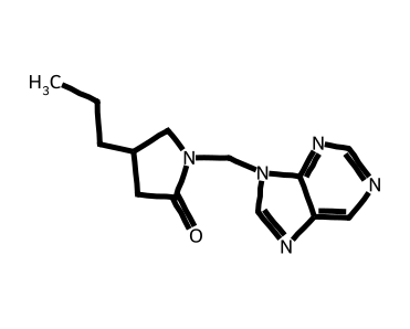 CCCC1CC(=O)N(Cn2cnc3cncnc32)C1